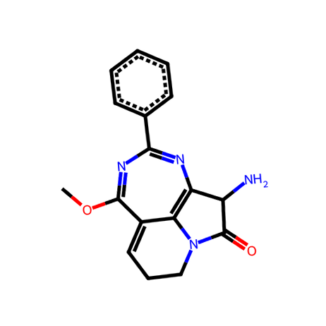 COC1=NC(c2ccccc2)=NC2=C3C1=CCCN3C(=O)C2N